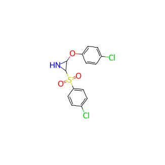 O=S(=O)(c1ccc(Cl)cc1)C1NC1Oc1ccc(Cl)cc1